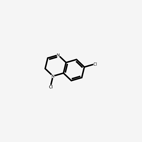 Clc1ccc2c(c1)N=CCN2Cl